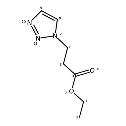 CCOC(=O)CCn1ccnn1